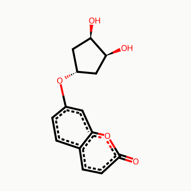 O=c1ccc2ccc(O[C@@H]3C[C@@H](O)[C@@H](O)C3)cc2o1